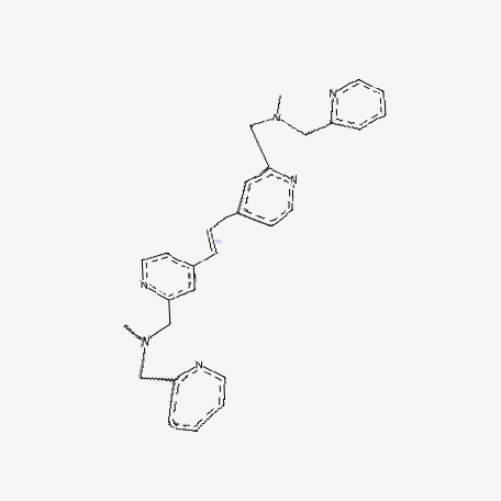 CN(Cc1ccccn1)Cc1cc(/C=C/c2ccnc(CN(C)Cc3ccccn3)c2)ccn1